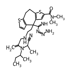 C=C(CNCCC1(C(=N)/N=N\N)c2ccsc2CCc2sc(C(=O)N(C)C)cc21)N(C(C)C#N)C(C)CC